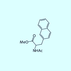 COC(=O)C(Cc1ccc2ccccc2c1)NC(C)=O